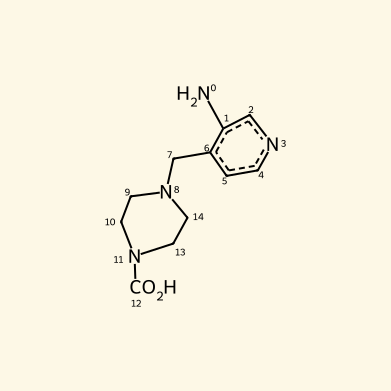 Nc1cnccc1CN1CCN(C(=O)O)CC1